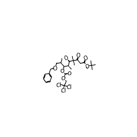 CC(COCc1ccccc1)C(OC(=O)OCC(Cl)(Cl)Cl)C(C)C(=O)C(C)(C)C(=O)CC(=O)OC(C)(C)C